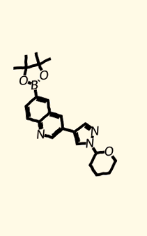 CC1(C)OB(c2ccc3ncc(-c4cnn(C5CCCCO5)c4)cc3c2)OC1(C)C